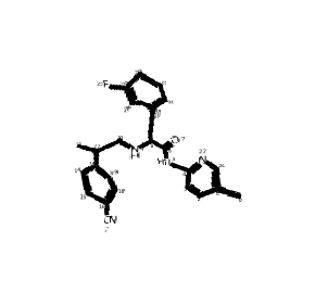 Cc1ccc(NC(=O)C(NCC(C)c2ccc(C#N)cc2)c2cccc(F)c2)nc1